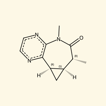 C[C@H]1C(=O)N(C)c2nccnc2[C@@H]2C[C@H]12